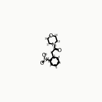 O=C(Cc1ccccc1[N+](=O)[O-])N1CCOCC1